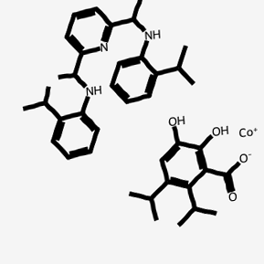 CC(C)c1cc(O)c(O)c(C(=O)[O-])c1C(C)C.CC(C)c1ccccc1NC(C)c1cccc(C(C)Nc2ccccc2C(C)C)n1.[Co+]